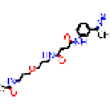 CCC(=O)NCCCOCCCNC(=O)CCC(=O)Nc1cccc(C(C)=[N+]=[N-])c1